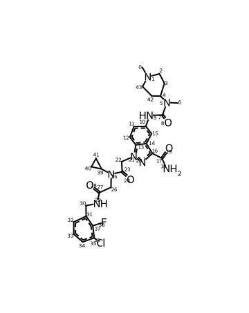 CN1CCC(N(C)C(=O)Nc2ccc3c(c2)c(C(N)=O)nn3CC(=O)N(CC(=O)NCc2cccc(Cl)c2F)C2CC2)CC1